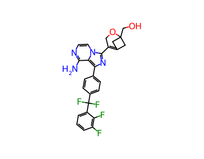 Nc1nccn2c(C3=C4CC(CO)(C4)OC3)nc(-c3ccc(C(F)(F)c4cccc(F)c4F)cc3)c12